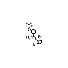 NC(CCc1c(Br)cccc1Br)c1cccc(OC(F)(F)C(F)F)c1